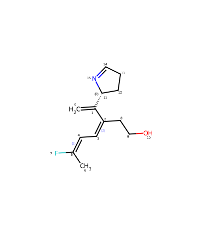 C=C(/C(=C\C=C(/C)F)CCO)[C@H]1CCC=N1